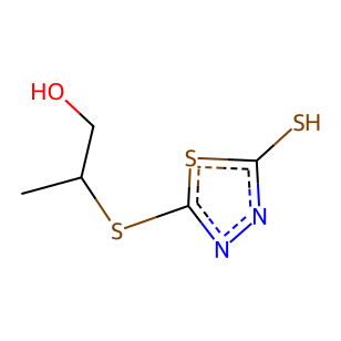 CC(CO)Sc1nnc(S)s1